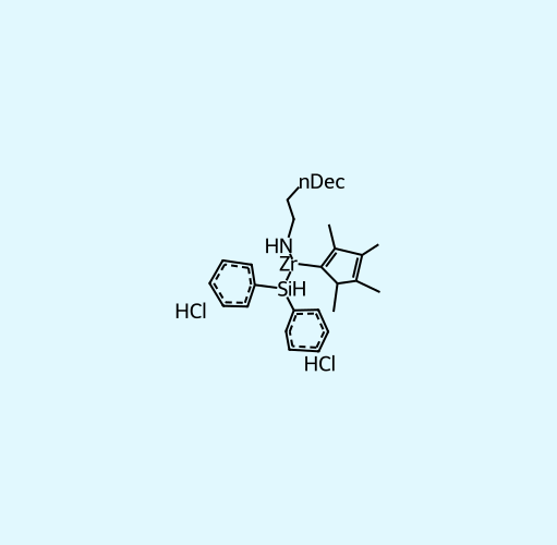 CCCCCCCCCCCC[NH][Zr]([C]1=C(C)C(C)=C(C)C1C)[SiH](c1ccccc1)c1ccccc1.Cl.Cl